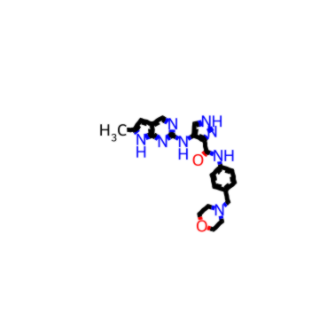 Cc1cc2cnc(Nc3c[nH]nc3C(=O)Nc3ccc(CN4CCOCC4)cc3)nc2[nH]1